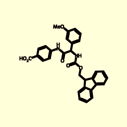 COc1cccc(C(NC(=O)OCC2c3ccccc3-c3ccccc32)C(=O)Nc2ccc(C(=O)O)cc2)c1